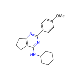 COc1ccc(-c2nc3c(c(NC4CCCCC4)n2)CCC3)cc1